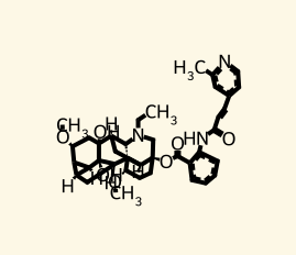 CCN1C[C@]2(OC(=O)c3ccccc3NC(=O)/C=C/c3ccnc(C)c3)CC[C@H](OC)[C@]34C1[C@@H](C[C@H]23)[C@@]1(O)C[C@H](OC)C2[C@H]3C[C@@H]4[C@]1(O)[C@@H]23